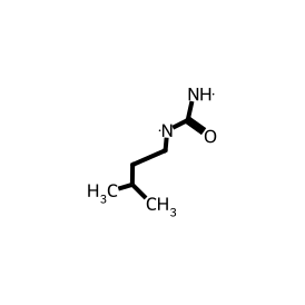 CC(C)CC[N]C([NH])=O